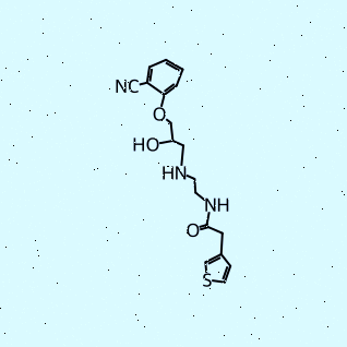 N#Cc1ccccc1OCC(O)CNCCNC(=O)Cc1ccsc1